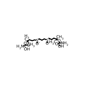 CC(C)(CCC[S+]([O-])CCC[S+]([O-])CCCC(C)(C)OP(N)(=O)O)OP(N)(=O)O